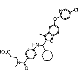 Cc1c(C(Nc2ccc(C(=O)N(C)CCC(=O)O)cc2)C2CCCCC2)oc2ccc(Oc3ccc(C#N)cn3)cc12